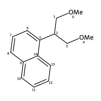 COCC(COC)c1cccc2ccccc12